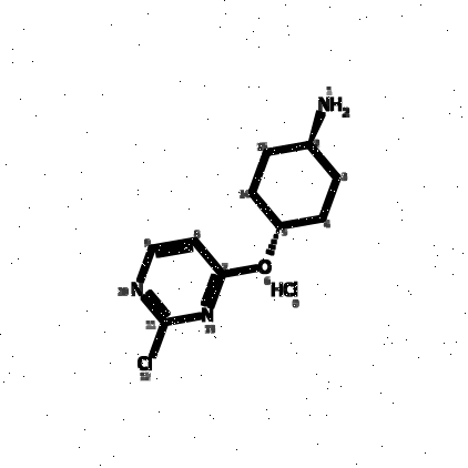 Cl.N[C@H]1CC[C@H](Oc2ccnc(Cl)n2)CC1